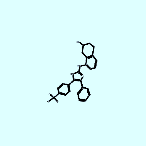 OC1CCc2cccc(Nc3nc(-c4ccccc4)c(-c4ccc(C(F)(F)F)cc4)[nH]3)c2C1